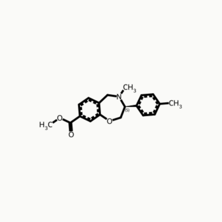 COC(=O)c1ccc2c(c1)OC[C@H](c1ccc(C)cc1)N(C)C2